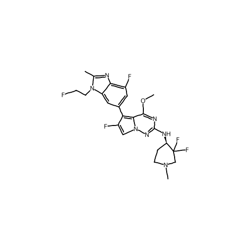 COc1nc(N[C@@H]2CCN(C)CC2(F)F)nn2cc(F)c(-c3cc(F)c4nc(C)n(CCF)c4c3)c12